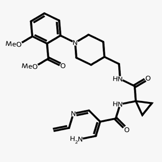 C=C/N=C\C(=C/N)C(=O)NC1(C(=O)NCC2CCN(c3cccc(OC)c3C(=O)OC)CC2)CC1